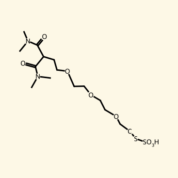 CN(C)C(=O)C(CCOCCOCCOCCSS(=O)(=O)O)C(=O)N(C)C